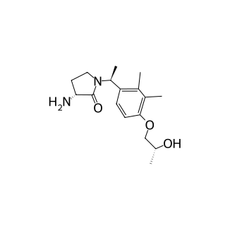 Cc1c(OC[C@@H](C)O)ccc([C@H](C)N2CC[C@@H](N)C2=O)c1C